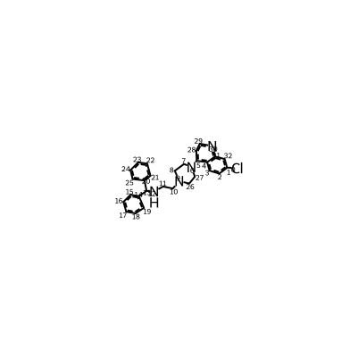 Clc1ccc2c(N3CCN(CCNC(c4ccccc4)c4ccccc4)CC3)ccnc2c1